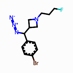 [N-]=[N+]=NC(c1ccc(Br)cc1)C1CN(CCCF)C1